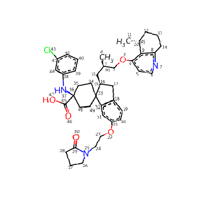 C[C@@H](COc1ccnc2c1[C@H](C)CCC2)C[C@H]1Cc2ccc(OCCN3CCCC3=O)cc2C12CCC(Nc1cccc(Cl)c1)(C(=O)O)CC2